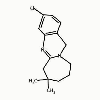 CC1(C)CCCN2Cc3ccc(Cl)cc3N=C2C1